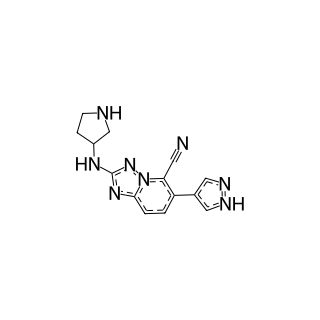 N#Cc1c(-c2cn[nH]c2)ccc2nc(NC3CCNC3)nn12